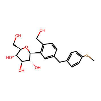 CSc1ccc(Cc2ccc(CO)c([C@@H]3O[C@H](CO)[C@@H](O)[C@H](O)[C@H]3O)c2)cc1